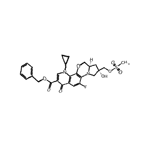 CS(=O)(=O)OC[C@]1(O)C[C@@H]2COc3c(c(F)cc4c(=O)c(C(=O)OCc5ccccc5)cn(C5CC5)c34)N2C1